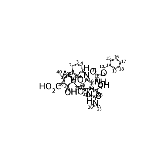 CC(=O)c1cccc(N[C@H]2[C@H](NC(=O)OCc3ccccc3)[C@@](NC(=O)N(C)C)([C@H](C)O)[C@@](C)(O)[C@]2(O)Cc2ccc(C)c(C(=O)O)c2O)c1